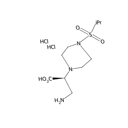 CC(C)S(=O)(=O)N1CCN([C@@H](CN)C(=O)O)CC1.Cl.Cl